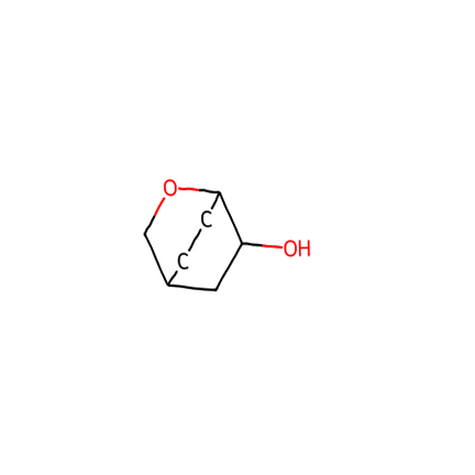 OC1CC2CCC1OC2